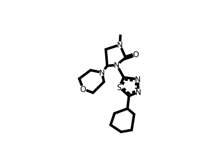 CN1CC(N2CCOCC2)N(c2nnc(C3CCCCC3)s2)C1=O